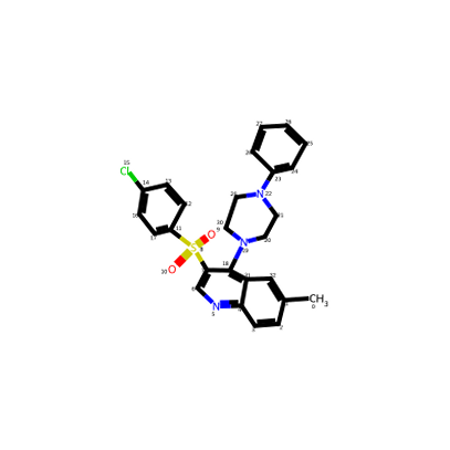 Cc1ccc2ncc(S(=O)(=O)c3ccc(Cl)cc3)c(N3CCN(c4ccccc4)CC3)c2c1